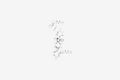 COC(=O)C=Cc1cccc(S(=O)(=O)N2CCN(c3ccccc3OC)CC2)c1